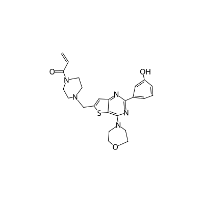 C=CC(=O)N1CCN(Cc2cc3nc(-c4cccc(O)c4)nc(N4CCOCC4)c3s2)CC1